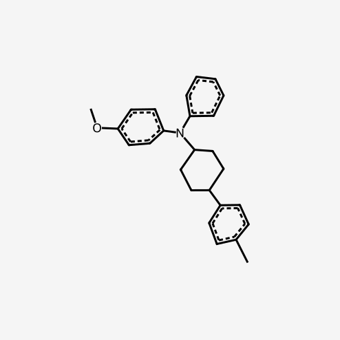 COc1ccc(N(c2ccccc2)C2CCC(c3ccc(C)cc3)CC2)cc1